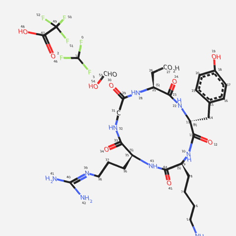 FC(F)F.NCCCC[C@@H]1NC(=O)[C@@H](Cc2ccc(O)cc2)NC(=O)[C@H](CC(=O)O)NC(=O)CNC(=O)[C@H](CCCN=C(N)N)NC1=O.O=C(O)C(F)(F)F.O=CO